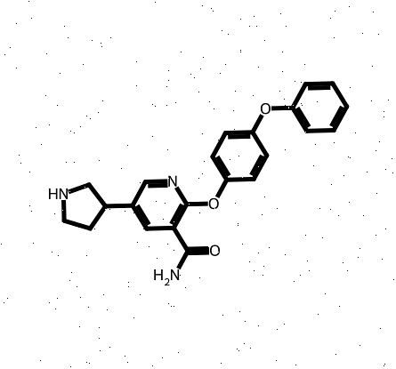 NC(=O)c1cc(C2CCNC2)cnc1Oc1ccc(Oc2ccccc2)cc1